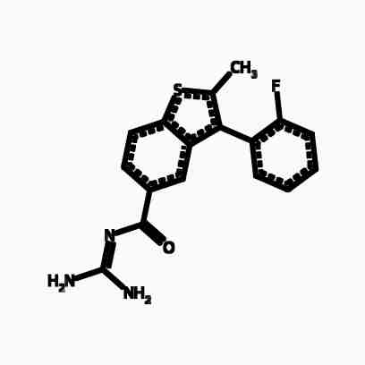 Cc1sc2ccc(C(=O)N=C(N)N)cc2c1-c1ccccc1F